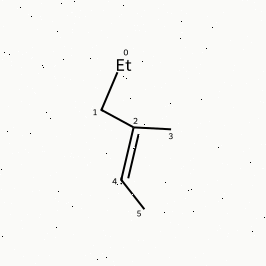 [CH2]CC/C(C)=[C]/C